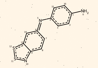 Nc1ccc(/N=c2\ccc3nssc-3c2)cc1